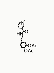 CC(=O)Oc1ccc(CCNC(=O)C2=CN(C)C=CC2)cc1OC(C)=O